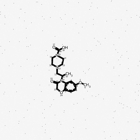 COc1ccc2c(c1)N(C(C)CN1CCN(C(=O)O)CC1)C(=O)CO2